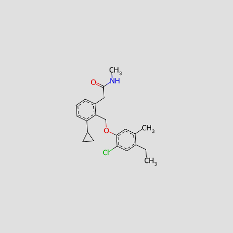 CCc1cc(Cl)c(OCc2c(CC(=O)NC)cccc2C2CC2)cc1C